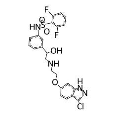 O=S(=O)(Nc1cccc(C(O)CNCCOc2ccc3c(Cl)n[nH]c3c2)c1)c1c(F)cccc1F